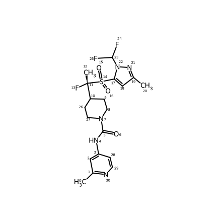 Cc1cc(NC(=O)N2CCC([C@](C)(F)S(=O)(=O)c3cc(C)nn3C(F)F)CC2)ccn1